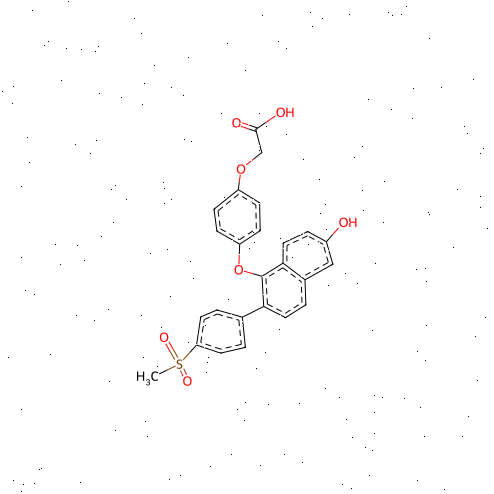 CS(=O)(=O)c1ccc(-c2ccc3cc(O)ccc3c2Oc2ccc(OCC(=O)O)cc2)cc1